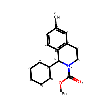 CC(C)(C)OC(=O)N1CCc2cc(C#N)ccc2C1C1CCCCC1